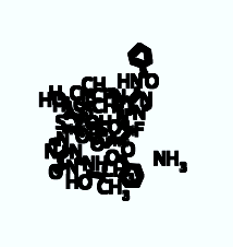 CC(C)C(=O)Nc1nc2c(ncn2[C@@H]2SC(CO)[C@@H](O[Si](C)(C)C(C)(C)C)[C@H]2OP(O)(=S)OC[C@H]2O[C@@H](n3cnc4c(NC(=O)c5ccccc5)ncnc43)[C@@H](F)[C@@H]2OC(=O)c2ccccc2)c(=O)[nH]1.N